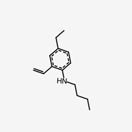 C=Cc1cc(CC)ccc1NCCCC